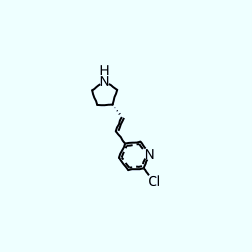 Clc1ccc(/C=C/[C@@H]2CCNC2)cn1